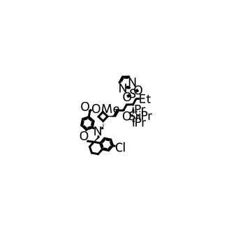 CCC(CCC(/C=C/[C@@H]1CC[C@H]1CN1C[C@@]2(CCCc3cc(Cl)ccc32)COc2ccc(C(=O)OC)cc21)O[Si](C(C)C)(C(C)C)C(C)C)S(=O)(=O)c1ncccn1